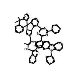 CC1=C(C2=CC3c4c(-c5nc(-c6ccccc6)nc(-c6ccccc6)n5)cccc4C4(c5ccccc5C(C)(C)c5ccccc54)C3C=C2)N=C(c2ccc3c4ccccc4n(-c4ccccc4)c3c2)c2sc3ccccc3c2N1